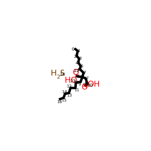 CCCCCCCCC(CCCCCCCC)(CC(=O)O)C(=O)O.S